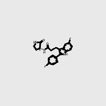 O=C(CCc1c(-c2ccc(F)cc2)[nH]c2ccc(F)cc12)N[C@@H]1CCNC1=O